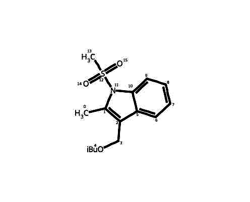 Cc1c(COCC(C)C)c2ccccc2n1S(C)(=O)=O